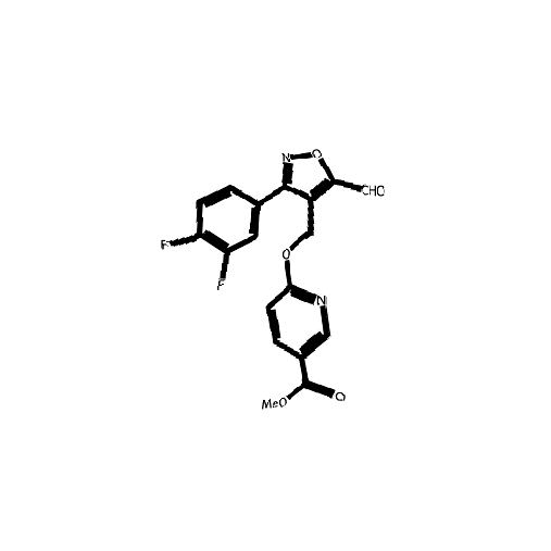 COC(=O)c1ccc(OCc2c(-c3ccc(F)c(F)c3)noc2C=O)nc1